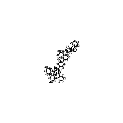 c1ccc(-c2nc(-c3ccc(-c4ccc(-c5ccc6c(c5)oc5ccccc56)c5ccccc45)cc3)nc(-c3ccccc3-c3ccccc3)n2)cc1